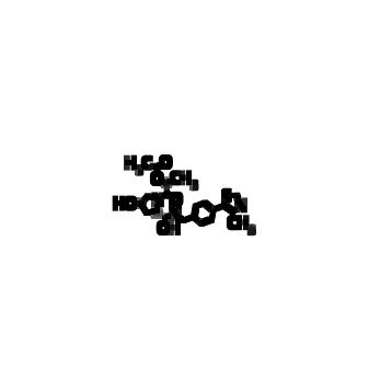 CC(=O)O[C@@H](C)C(=O)N1C[C@H](O)C[C@H]1C(O)NCc1ccc(-c2scnc2C)cc1